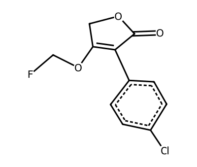 O=C1OCC(OCF)=C1c1ccc(Cl)cc1